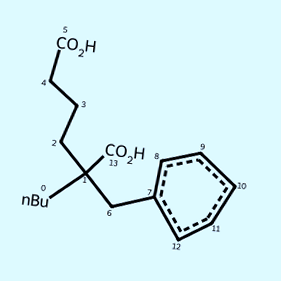 CCCCC(CCCC(=O)O)(Cc1ccccc1)C(=O)O